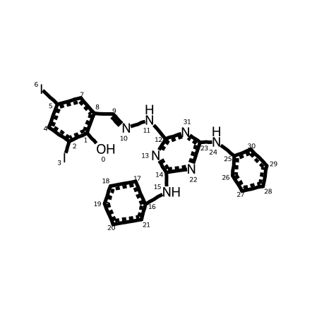 Oc1c(I)cc(I)cc1/C=N/Nc1nc(Nc2ccccc2)nc(Nc2ccccc2)n1